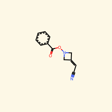 N#CC=C1CN(OC(=O)c2ccccc2)C1